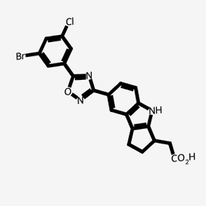 O=C(O)CC1CCc2c1[nH]c1ccc(-c3noc(-c4cc(Cl)cc(Br)c4)n3)cc21